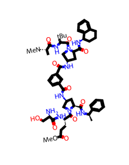 CN[C@@H](C)C(=O)NC(C(=O)N1C[C@@H](NC(=O)c2cccc(C(=O)N[C@H]3C[C@@H](C(=O)N[C@H](C)c4ccccc4)N(C(=O)[C@H](CCC(=O)OC)NC(=O)[C@@H](N)CO)C3)c2)CC1C(=O)N[C@@H]1CCCc2ccccc21)C(C)(C)C